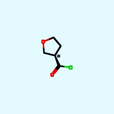 O=C(Cl)[C@@H]1CCOC1